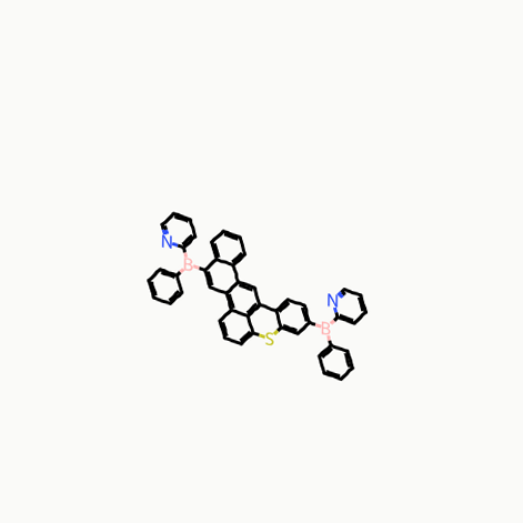 c1ccc(B(c2ccc3c(c2)Sc2cccc4c2c-3cc2c3ccccc3c(B(c3ccccc3)c3ccccn3)cc42)c2ccccn2)cc1